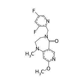 COc1cc2c(cn1)C(=O)N(Cc1ncc(F)cc1F)CCN2C